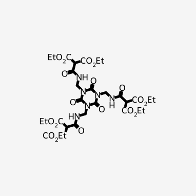 CCOC(=O)C(C(=O)NCn1c(=O)n(CNC(=O)C(C(=O)OCC)C(=O)OCC)c(=O)n(CNC(=O)C(C(=O)OCC)C(=O)OCC)c1=O)C(=O)OCC